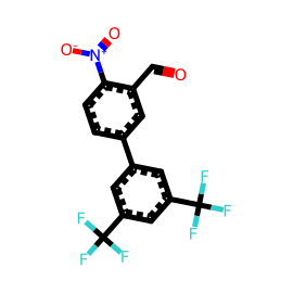 O=Cc1cc(-c2cc(C(F)(F)F)cc(C(F)(F)F)c2)ccc1[N+](=O)[O-]